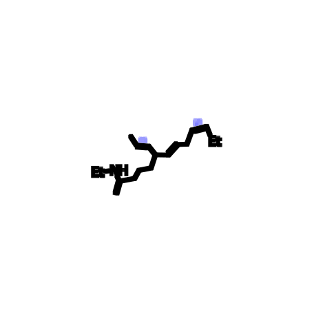 C=C(CCCC(C=CC/C=C\CC)/C=C/C)NCC